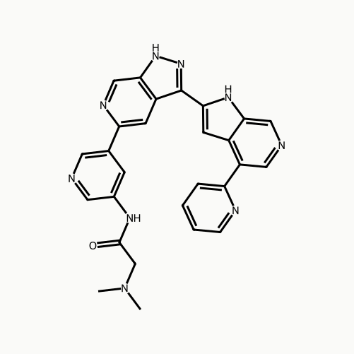 CN(C)CC(=O)Nc1cncc(-c2cc3c(-c4cc5c(-c6ccccn6)cncc5[nH]4)n[nH]c3cn2)c1